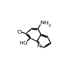 Nc1cc(Cl)c(O)c2ncccc12